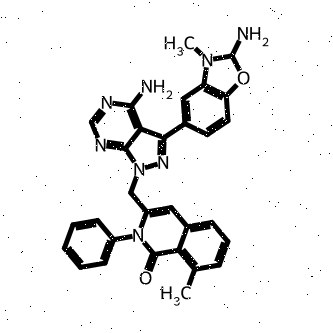 Cc1cccc2cc(Cn3nc(-c4ccc5c(c4)N(C)C(N)O5)c4c(N)ncnc43)n(-c3ccccc3)c(=O)c12